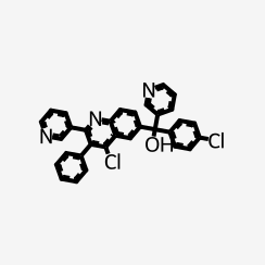 OC(c1ccc(Cl)cc1)(c1cccnc1)c1ccc2nc(-c3cccnc3)c(-c3ccccc3)c(Cl)c2c1